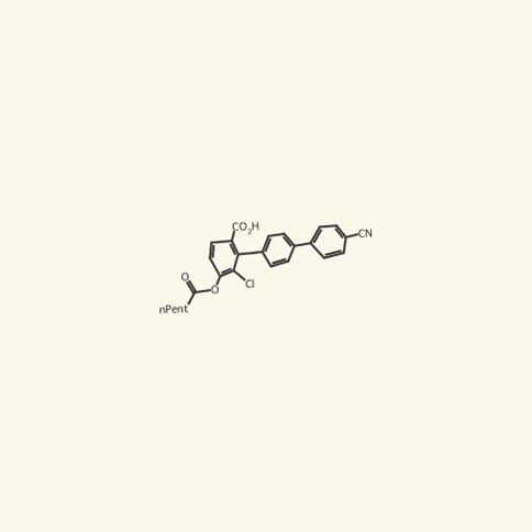 CCCCCC(=O)Oc1ccc(C(=O)O)c(-c2ccc(-c3ccc(C#N)cc3)cc2)c1Cl